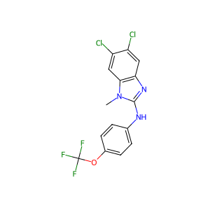 Cn1c(Nc2ccc(OC(F)(F)F)cc2)nc2cc(Cl)c(Cl)cc21